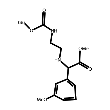 COC(=O)C(NCCNC(=O)OC(C)(C)C)c1cccc(OC)c1